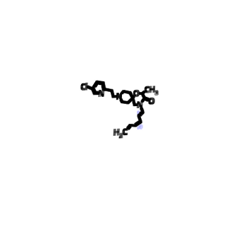 C=C/C=C\C=C\N1CC2(CCN(CCc3ccc(Cl)cn3)CC2)OC(C)C1=O